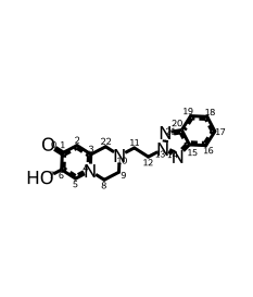 O=c1cc2n(cc1O)CCN(CCn1nc3ccccc3n1)C2